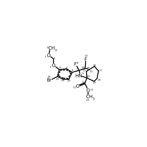 COCOc1cc(C(F)(NC2(C(=O)OC)CCCCC2)C(F)F)ccc1Br